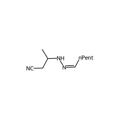 CCCCC/C=N\NC(C)CC#N